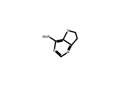 CNc1ncnc2c1SCC2